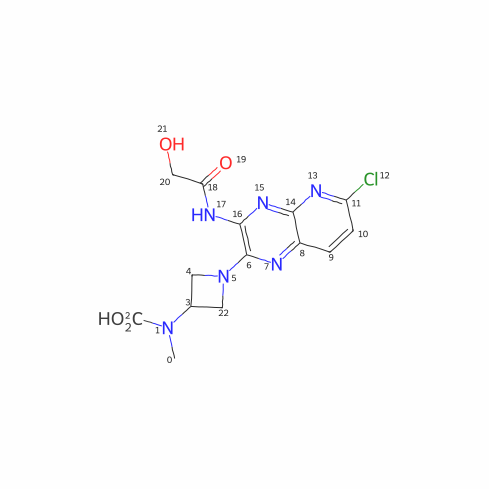 CN(C(=O)O)C1CN(c2nc3ccc(Cl)nc3nc2NC(=O)CO)C1